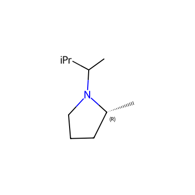 CC(C)C(C)N1CCC[C@H]1C